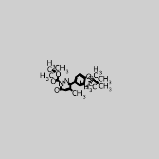 Cc1cc(=O)n(C(=O)OC(C)(C)C)nc1-c1ccc(O[Si](C)(C)C(C)(C)C)cc1